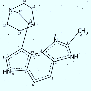 Cc1nc2c(ccc3[nH]cc(C4CN5CCC4CC5)c32)[nH]1